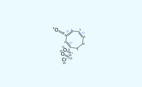 C1=C\C=C/CC\C=C/1.[C]=O.[C]=O.[C]=O.[Cr]